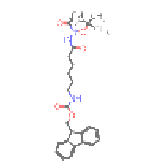 CC(=O)N(NC(=O)CCCCCNC(=O)OCC1c2ccccc2-c2ccccc21)OC(C)(C)C